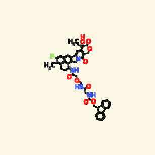 CC[C@@]1(O)C(=O)OCc2c1cc1n(c2=O)Cc2c-1cc1cc(F)c(C)c3c1c2[C@@H](NC(=O)COCNC(=O)CNC(=O)OCC1c2ccccc2-c2ccccc21)CC3